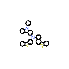 c1ccc(-n2c3ccccc3c3cc(N(c4ccc5sc6ccccc6c5c4)c4cccc5c4ccc4sc6ccccc6c45)ccc32)cc1